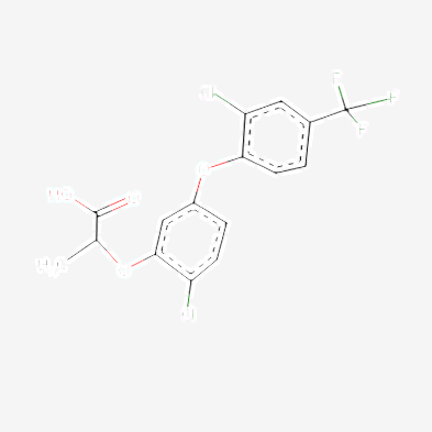 CC(Oc1cc(Oc2ccc(C(F)(F)F)cc2Cl)ccc1Cl)C(=O)O